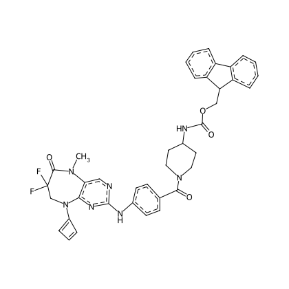 CN1C(=O)C(F)(F)CN(C2=CC=C2)c2nc(Nc3ccc(C(=O)N4CCC(NC(=O)OCC5c6ccccc6-c6ccccc65)CC4)cc3)ncc21